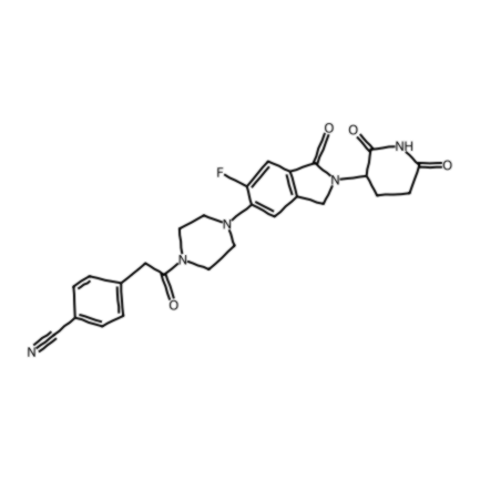 N#Cc1ccc(CC(=O)N2CCN(c3cc4c(cc3F)C(=O)N(C3CCC(=O)NC3=O)C4)CC2)cc1